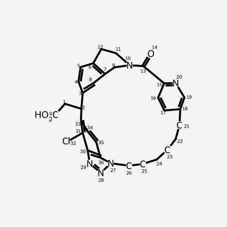 O=C(O)CC1c2ccc3c(c2)CN(CC3)C(=O)c2ccc(cn2)CCCCCCn2nnc3c(Cl)c1ccc32